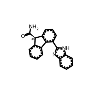 NC(=O)[C@@H]1c2ccccc2-c2c(-c3nc4ccccc4[nH]3)cccc21